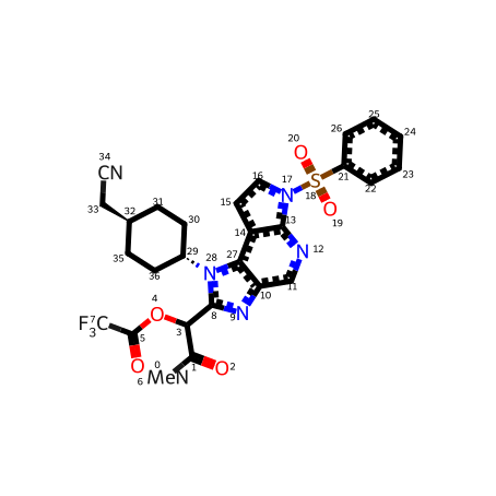 CNC(=O)C(OC(=O)C(F)(F)F)c1nc2cnc3c(ccn3S(=O)(=O)c3ccccc3)c2n1[C@H]1CC[C@H](CC#N)CC1